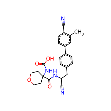 Cc1cc(-c2ccc(CC(C#N)NC(=O)C3(NC(=O)O)CCOCC3)cc2)ccc1C#N